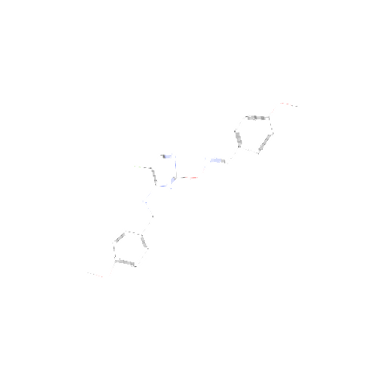 COc1ccc(C=NOc2ncc(F)c(NCc3ccc(OC)cc3)n2)cc1